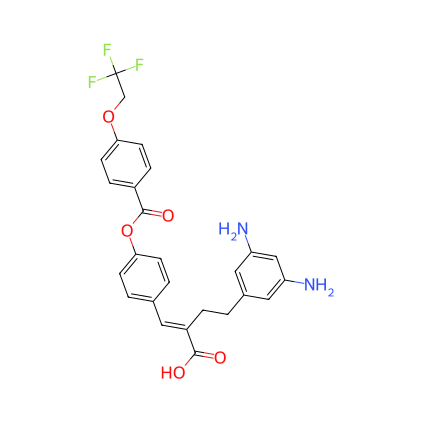 Nc1cc(N)cc(CC/C(=C\c2ccc(OC(=O)c3ccc(OCC(F)(F)F)cc3)cc2)C(=O)O)c1